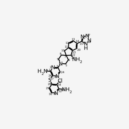 Nc1nc(N2CCC3(CC2)Cc2ccc(-c4nnn[nH]4)cc2C3N)cnc1Sc1ccnc(N)c1Cl